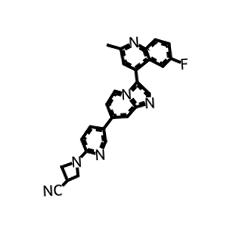 Cc1cc(-c2cnc3cc(-c4ccc(N5CC(C#N)C5)nc4)ccn23)c2cc(F)ccc2n1